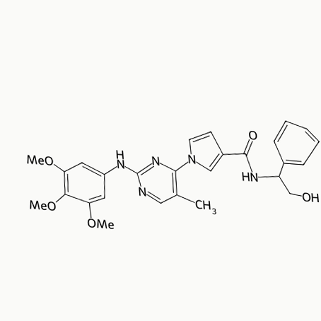 COc1cc(Nc2ncc(C)c(-n3ccc(C(=O)NC(CO)c4ccccc4)c3)n2)cc(OC)c1OC